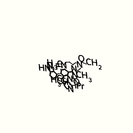 C=CC(=O)N1CC(C)N2c3nc(=O)n(-c4c(C)ccnc4C(C)C)c4c(Cl)c(-c5c(C)ccc6[nH]ncc56)c(F)c(c34)N(C)CCC2C1